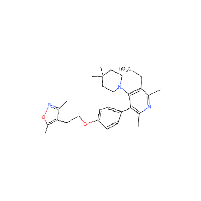 Cc1noc(C)c1CCOc1ccc(-c2c(C)nc(C)c(CC(=O)O)c2N2CCC(C)(C)CC2)cc1